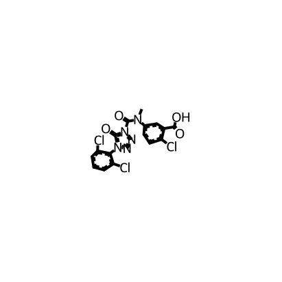 CN(C(=O)n1nnn(-c2c(Cl)cccc2Cl)c1=O)c1ccc(Cl)c(C(=O)O)c1